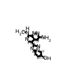 CNc1ncc(-c2nc3ccc(O)cn3n2)c2cc(N)nnc12